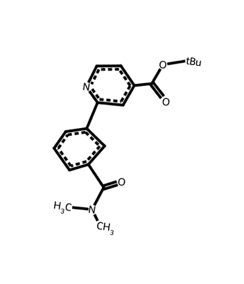 CN(C)C(=O)c1cccc(-c2cc(C(=O)OC(C)(C)C)ccn2)c1